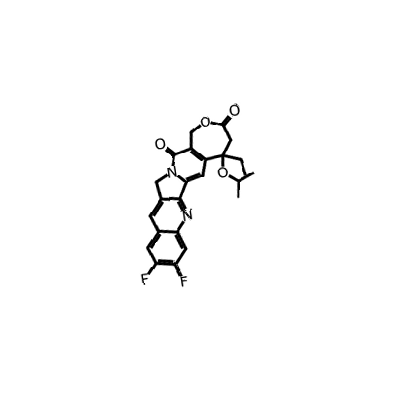 CCC1(OC(C)C)CC(=O)OCc2c1cc1n(c2=O)Cc2cc3cc(F)c(F)cc3nc2-1